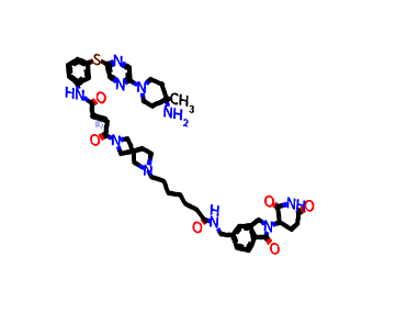 CC1(N)CCN(c2cnc(Sc3cccc(NC(=O)/C=C/C(=O)N4CC5(CCN(CCCCCCC(=O)NCc6ccc7c(c6)CN(C6CCC(=O)NC6=O)C7=O)C5)C4)c3)cn2)CC1